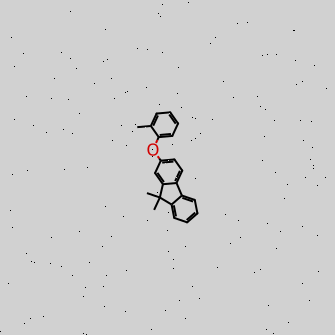 Cc1ccccc1Oc1ccc2c(c1)C(C)(C)c1ccccc1-2